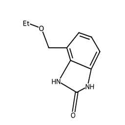 CCOCc1cccc2[nH]c(=O)[nH]c12